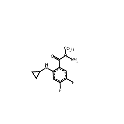 NN(C(=O)O)C(=O)c1cc(F)c(F)cc1NC1CC1